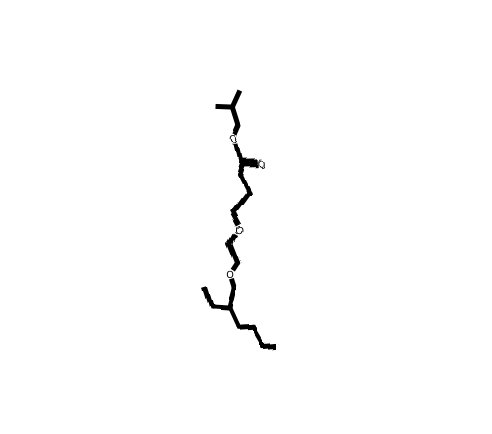 CCCCC(CC)COCCOCCCC(=O)OCC(C)C